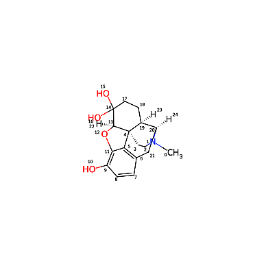 CN1CC[C@]23c4c5ccc(O)c4O[C@H]2C(O)(O)CC[C@H]3[C@H]1C5